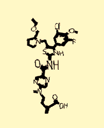 CCOCC1CCCN1CC1=C(c2cc(F)c(OC)c(Cl)c2)NC(NC(=O)c2cnc(N(C)CCC(C)C(=O)O)cn2)S1